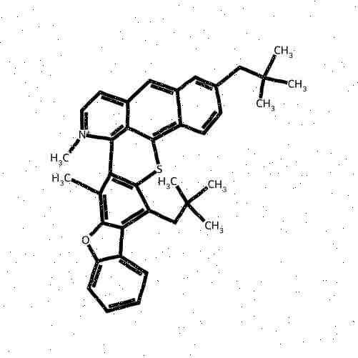 Cc1c2c(c(CC(C)(C)C)c3c1oc1ccccc13)Sc1c3ccc(CC(C)(C)C)cc3cc3cc[n+](C)c-2c13